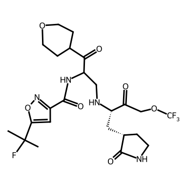 CC(C)(F)c1cc(C(=O)NC(CN[C@@H](C[C@@H]2CCNC2=O)C(=O)COC(F)(F)F)C(=O)C2CCOCC2)no1